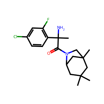 CC1(C)CC2CC(C)(CN2C(=O)C(C)(N)c2ccc(Cl)cc2F)C1